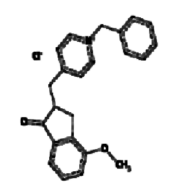 COc1cccc2c1CC(Cc1cc[n+](Cc3ccccc3)cc1)C2=O.[Cl-]